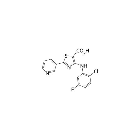 O=C(O)c1sc(-c2cccnc2)nc1Nc1cc(F)ccc1Cl